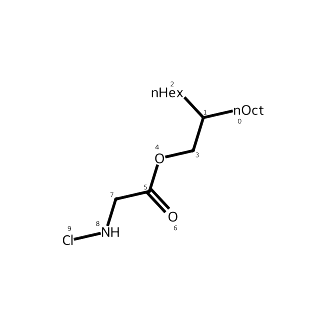 CCCCCCCCC(CCCCCC)COC(=O)CNCl